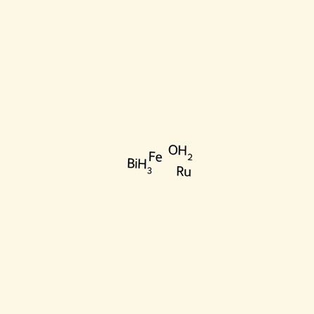 O.[BiH3].[Fe].[Ru]